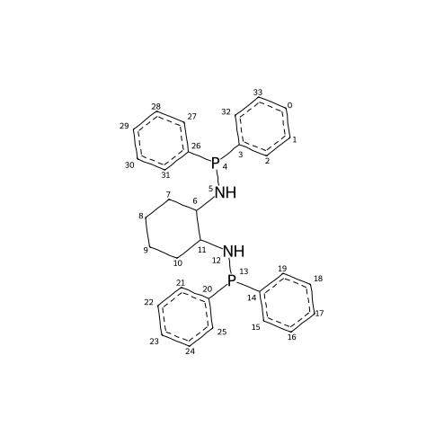 c1ccc(P(NC2CCCCC2NP(c2ccccc2)c2ccccc2)c2ccccc2)cc1